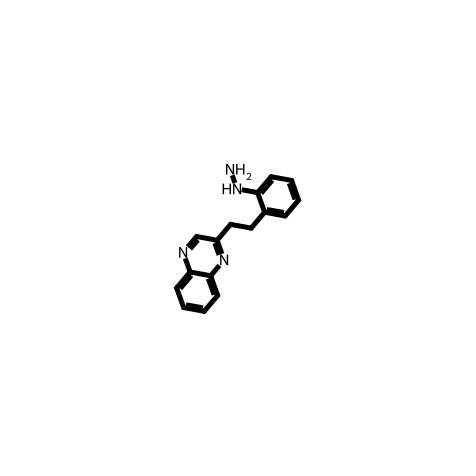 NNc1ccccc1CCc1cnc2ccccc2n1